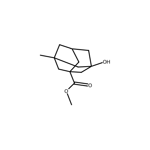 COC(=O)C12C[C]3CC(C)(CC(O)(C3)C1)C2